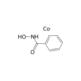 O=C(NO)c1ccccc1.[Co]